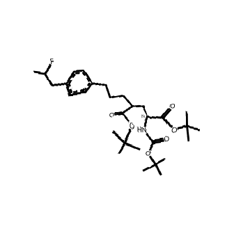 CC(F)Cc1ccc(CCCC(C[C@H](NC(=O)OC(C)(C)C)C(=O)OC(C)(C)C)C(=O)OC(C)(C)C)cc1